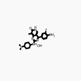 Cc1c(=O)[nH]cc2c(-c3ccc(N)c(F)c3)nc(NC3CCC(N(C)C)CC3)nc12.Cl